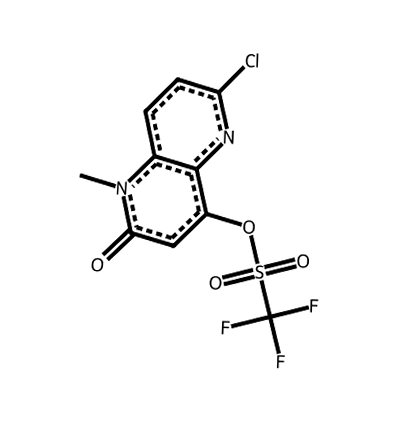 Cn1c(=O)cc(OS(=O)(=O)C(F)(F)F)c2nc(Cl)ccc21